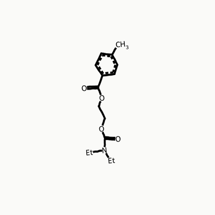 CCN(CC)C(=O)OCCOC(=O)c1ccc(C)cc1